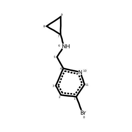 Brc1ccc(CNC2CC2)nc1